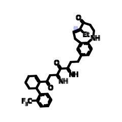 CC/C1=C\Cc2cc(CCC(=N)C(=O)C(=N)CC(=O)C3=CCCCC3c3ccccc3C(F)(F)F)ccc2NCCC1=O